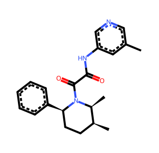 Cc1cncc(NC(=O)C(=O)N2[C@H](c3ccccc3)CC[C@H](C)[C@@H]2C)c1